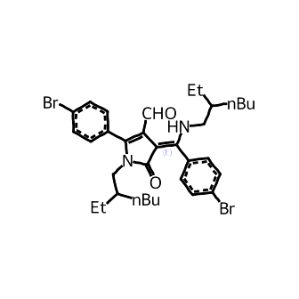 CCCCC(CC)CN/C(=C1/C(=O)N(CC(CC)CCCC)C(c2ccc(Br)cc2)=C1C=O)c1ccc(Br)cc1